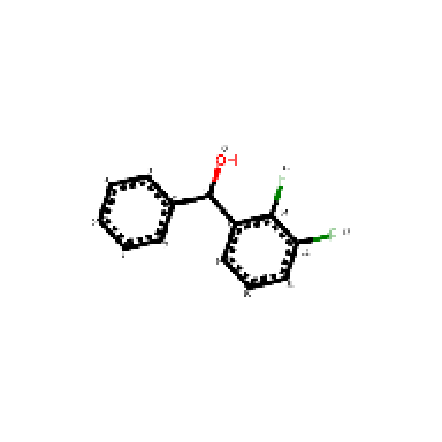 OC(c1ccccc1)c1cccc(F)c1F